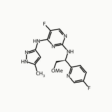 COC[C@@H](Nc1ncc(F)c(Nc2cc(C)[nH]n2)n1)c1ccc(F)cn1